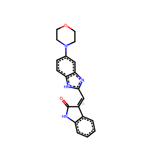 O=C1Nc2ccccc2/C1=C/c1nc2cc(N3CCOCC3)ccc2[nH]1